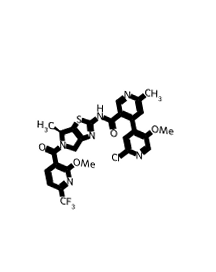 COc1cnc(Cl)cc1-c1cc(C)ncc1C(=O)Nc1nc2c(s1)[C@H](C)N(C(=O)c1ccc(C(F)(F)F)nc1OC)C2